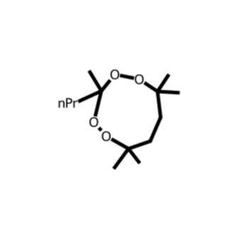 CCCC1(C)OOC(C)(C)CCC(C)(C)OO1